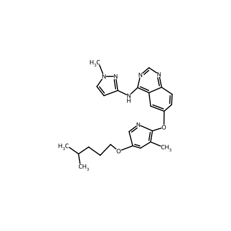 Cc1cc(OCCCC(C)C)cnc1Oc1ccc2ncnc(Nc3ccn(C)n3)c2c1